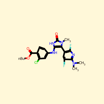 CCCCOC(=O)c1ccc(Nc2[nH]c(=O)n(C)c2-c2cc(F)c(N(C)C)nc2F)cc1Cl